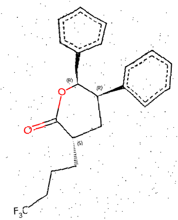 O=C1O[C@@H](c2ccccc2)[C@@H](c2ccccc2)C[C@@H]1CCCC(F)(F)F